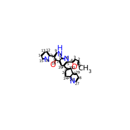 Cc1ccc(-c2nc3[nH]cc(-c4ccccn4)c(=O)c3cc2-c2ccc3ncccc3c2)o1